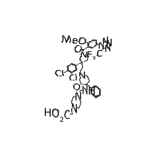 COc1ccc(-n2nnnc2C(F)(F)F)cc1C(=O)N1CCC(CCN2CCC(NC(=O)N3CCN(CC(=O)O)CC3)(c3ccccc3)CC2)(c2ccc(Cl)c(Cl)c2)C1